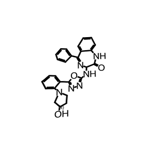 O=C1Nc2ccccc2C(c2ccccc2)=NC1Nc1nnc(-c2ccccc2N2CC[C@@H](O)C2)o1